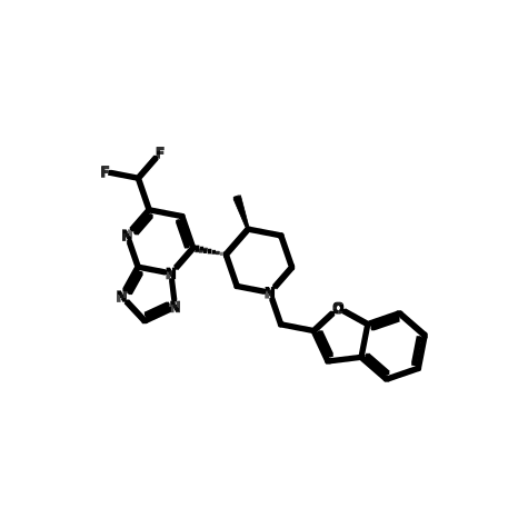 C[C@H]1CCN(Cc2cc3ccccc3o2)C[C@@H]1c1cc(C(F)F)nc2ncnn12